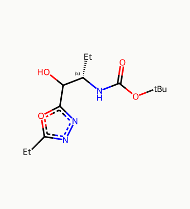 CCc1nnc(C(O)[C@H](CC)NC(=O)OC(C)(C)C)o1